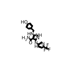 NC(=O)c1c(Nc2ccc(C(F)(F)F)nc2)n[nH]c1NCc1ccc(O)cc1